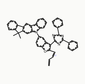 C=C/C=C\c1oc2ccc(-n3c4ccccc4c4cc5c(cc43)C(C)(C)c3ccccc3-5)cc2c1-c1nc(-c2ccccc2)nc(-c2ccccc2)n1